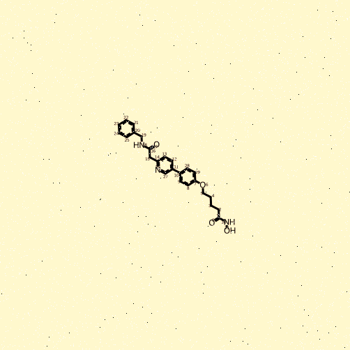 O=C(CCCCOc1ccc(-c2ccc(CC(=O)NCc3ccccc3)nc2)cc1)NO